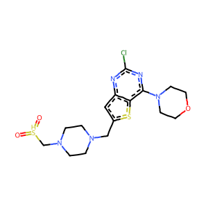 O=[SH](=O)CN1CCN(Cc2cc3nc(Cl)nc(N4CCOCC4)c3s2)CC1